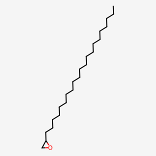 CCCCCCCCCCCCCCCCCCCCCC1CO1